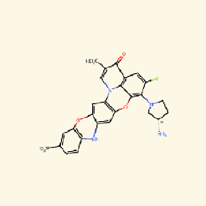 N[C@H]1CCN(c2c(F)cc3c(=O)c(C(=O)O)cn4c5cc6oc7cc([N+](=O)[O-])ccc7[nH]c6cc5oc2c34)C1